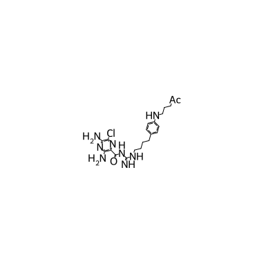 CC(=O)CCCNc1ccc(CCCCNC(=N)NC(=O)c2nc(Cl)c(N)nc2N)cc1